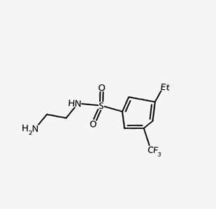 CCc1cc(C(F)(F)F)cc(S(=O)(=O)NCCN)c1